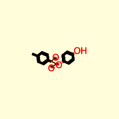 Cc1ccc(S(=O)(=O)Oc2ccc(O)cc2)cc1